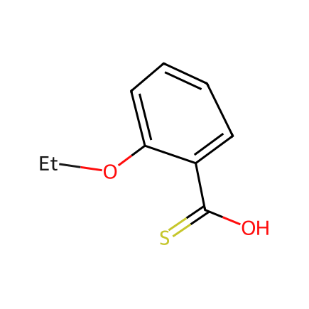 CCOc1ccccc1C(O)=S